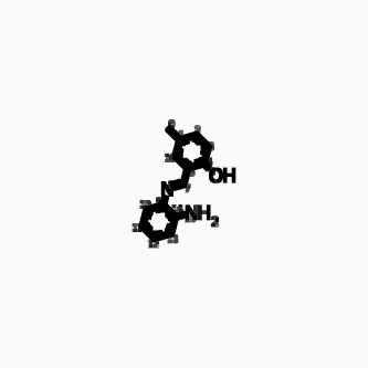 Cc1ccc(O)c(C=Nc2ccccc2N)c1